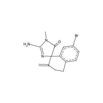 C=C1CCc2ccc(Br)cc2C12N=C(N)N(C)C2=O